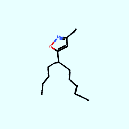 CCCCCC(CCCC)c1cc(C)no1